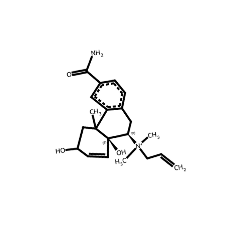 C=CC[N+](C)(C)[C@@H]1Cc2ccc(C(N)=O)cc2C2(C)CC(O)C=C[C@@]12O